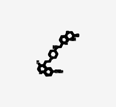 COc1ccc2ncc(F)c(CCN3CCC(NCc4ccc5c(n4)NC(=O)CO5)CC3)c2c1